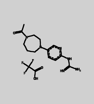 CC(=O)N1CCCN(c2ccc(NC(=N)N)nc2)CC1.O=C(O)C(F)(F)F